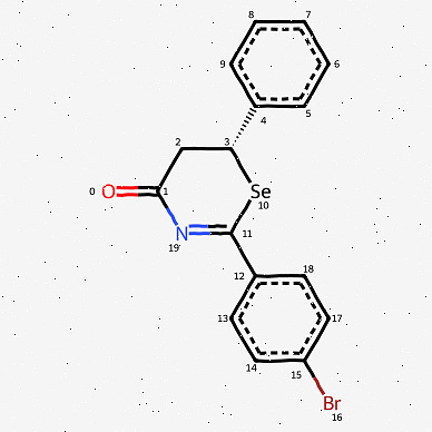 O=C1C[C@H](c2ccccc2)[Se]C(c2ccc(Br)cc2)=N1